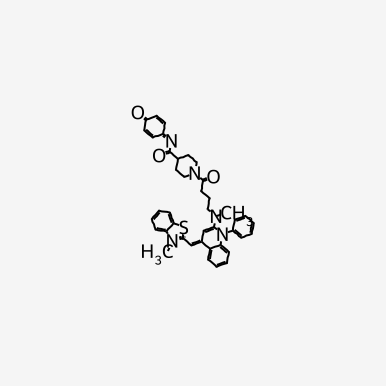 CN(CCCC(=O)N1CCC(C(=O)N=C2C=CC(=O)C=C2)CC1)C1=C/C(=C\c2sc3ccccc3[n+]2C)c2ccccc2N1c1ccccc1